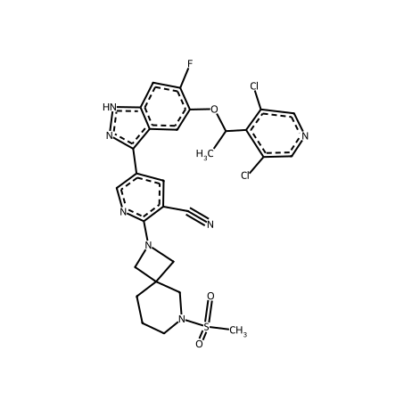 CC(Oc1cc2c(-c3cnc(N4CC5(CCCN(S(C)(=O)=O)C5)C4)c(C#N)c3)n[nH]c2cc1F)c1c(Cl)cncc1Cl